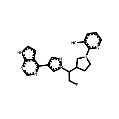 N#Cc1cccnc1N1CCC(C(CF)n2cc(-c3ncnc4[nH]ccc34)cn2)C1